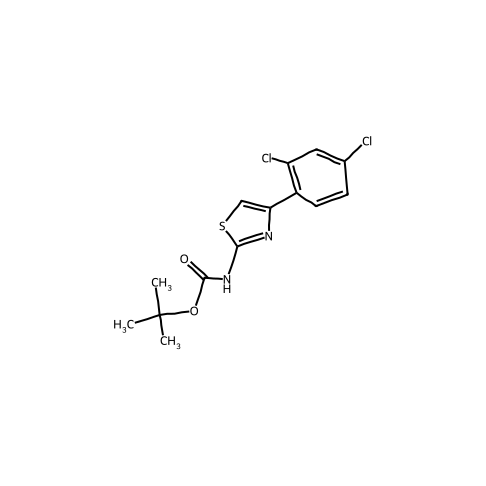 CC(C)(C)OC(=O)Nc1nc(-c2ccc(Cl)cc2Cl)cs1